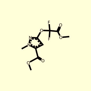 COC(=O)c1cc(OC(F)(F)C(=O)OC)nn1C